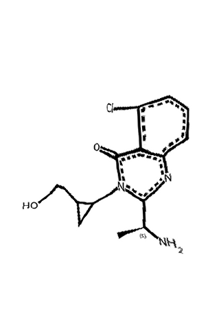 C[C@H](N)c1nc2cccc(Cl)c2c(=O)n1C1CC1CO